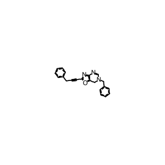 C(#Cc1nc2c(o1)CN(Cc1ccccc1)C=N2)Cc1ccccc1